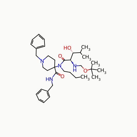 CCCCN(C(=O)[C@H](NCOC(C)(C)C)[C@H](O)C(C)C)C1(C(=O)NCc2ccccc2)CCN(Cc2ccccc2)CC1